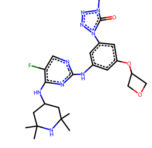 Cn1nnn(-c2cc(Nc3ncc(F)c(NC4CC(C)(C)NC(C)(C)C4)n3)cc(OC3COC3)c2)c1=O